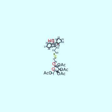 CC(=O)OCC1O[C@@H](OCCSSCCCC(C)(C)[Si](O)(c2ccccc2)c2ccccc2)C(OC(C)=O)C(OC(C)=O)[C@@H]1OC(C)=O